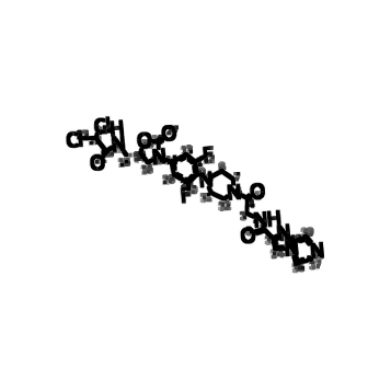 O=C(NCC(=O)N1CCN(c2c(F)cc(N3C[C@H](CNC(=O)C(Cl)Cl)OC3=O)cc2F)CC1)c1cn2ccncc2n1